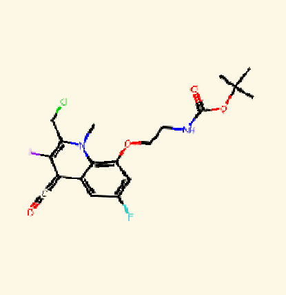 CN1C(CCl)=C(I)C(=C=O)c2cc(F)cc(OCCNC(=O)OC(C)(C)C)c21